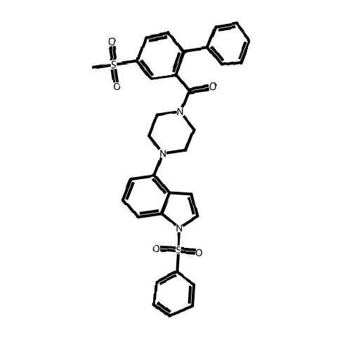 CS(=O)(=O)c1ccc(-c2ccccc2)c(C(=O)N2CCN(c3cccc4c3ccn4S(=O)(=O)c3ccccc3)CC2)c1